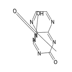 O=C1N=C2N=CC=NC23C(=N1)N=CC(=O)N3O